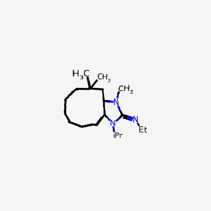 CC/N=C1/N(C)C2CC(C)(C)CCCCCCC2N1C(C)C